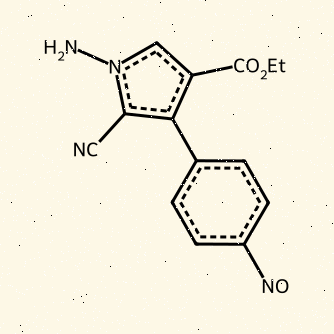 CCOC(=O)c1cn(N)c(C#N)c1-c1ccc(N=O)cc1